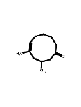 C/C1=C/CCCCC(=O)CC(C)C1